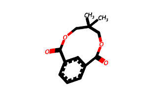 CC1(C)COC(=O)c2cccc(c2)C(=O)OC1